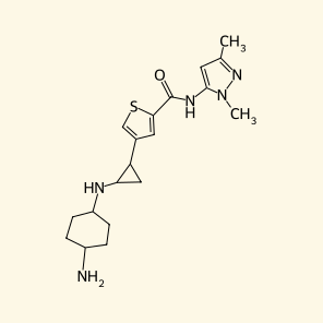 Cc1cc(NC(=O)c2cc(C3CC3NC3CCC(N)CC3)cs2)n(C)n1